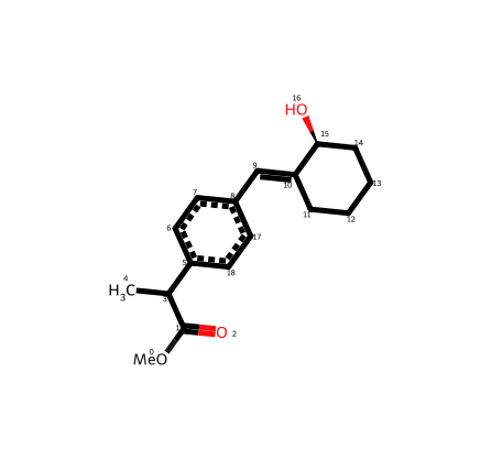 COC(=O)C(C)c1ccc(C=C2CCCC[C@@H]2O)cc1